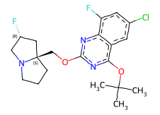 CC(C)(C)Oc1nc(OC[C@@]23CCCN2C[C@H](F)C3)nc2c(F)cc(Cl)cc12